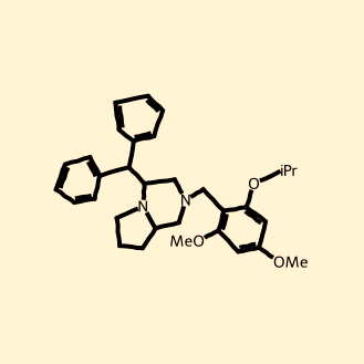 COc1cc(OC)c(CN2CC3CCCN3C(C(c3ccccc3)c3ccccc3)C2)c(OC(C)C)c1